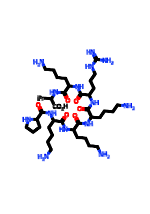 CC(C)C(NC(=O)C(CCCCN)NC(=O)C(CCCNC(=N)N)NC(=O)C(CCCCN)NC(=O)C(CCCCN)NC(=O)C(CCCCN)NC(=O)C1CCCN1)C(=O)O